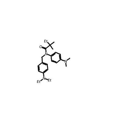 CCN(CC)c1ccc(CN(C(=O)C(C)(C)CC)c2ccc(N(C)C)cc2)cc1